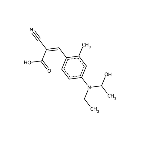 CCN(c1ccc(C=C(C#N)C(=O)O)c(C)c1)C(C)O